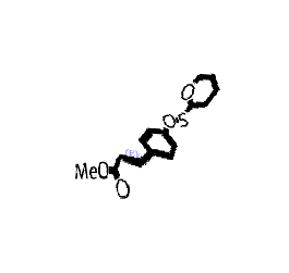 COC(=O)/C=C/c1ccc(OSC2CCCCO2)cc1